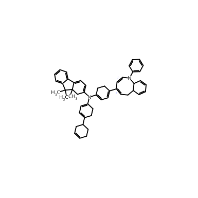 CC12CC(N(C3=CC=C(C4=C/CC5C=CC=CC5N(c5ccccc5)/C=C\4)CC3)C3=CC=C(C4CC=CCC4)CC3)=CC=C1c1ccccc1C2(C)C